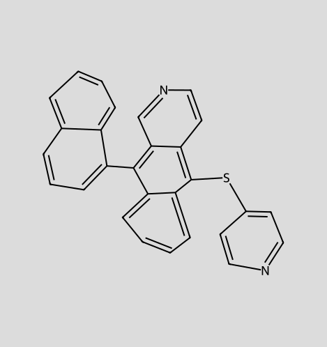 c1ccc2c(-c3c4ccccc4c(Sc4ccncc4)c4ccncc34)cccc2c1